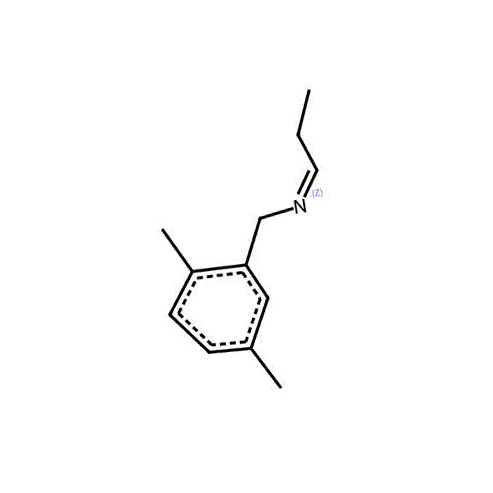 CC/C=N\Cc1cc(C)ccc1C